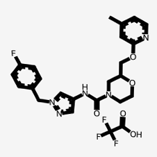 Cc1ccnc(OCC2CN(C(=O)Nc3cnn(Cc4ccc(F)cc4)c3)CCO2)c1.O=C(O)C(F)(F)F